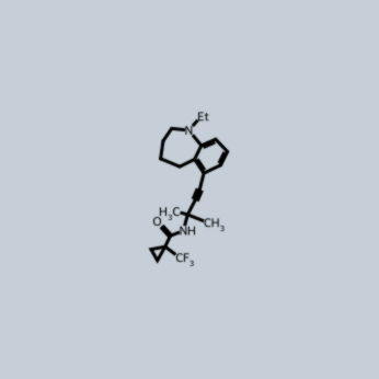 CCN1CCCCc2c(C#CC(C)(C)NC(=O)C3(C(F)(F)F)CC3)cccc21